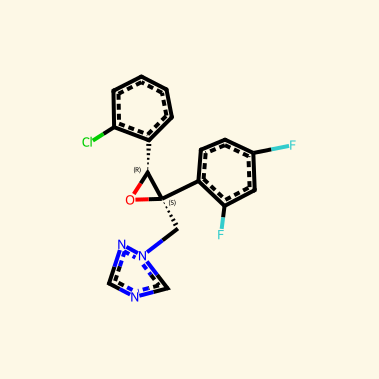 Fc1ccc([C@@]2(Cn3cncn3)O[C@@H]2c2ccccc2Cl)c(F)c1